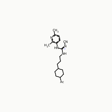 CC(=O)C1CCC(CCCN/C(=N/C#N)Nc2ccc(C)nc2C)CC1